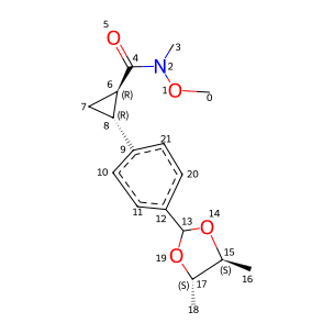 CON(C)C(=O)[C@@H]1C[C@H]1c1ccc(C2O[C@@H](C)[C@H](C)O2)cc1